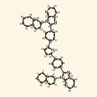 c1ccc2cc(-n3c(-c4ccc(-c5ccc(-c6ccc(-c7nc8cccnc8n7-c7ccc8ccccc8c7)cc6)s5)cc4)nc4cccnc43)ccc2c1